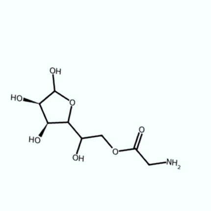 NCC(=O)OCC(O)C1OC(O)[C@H](O)[C@@H]1O